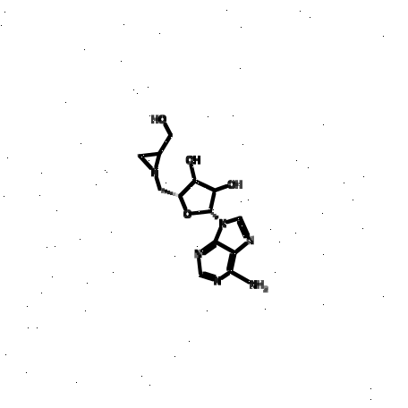 Nc1ncnc2c1ncn2[C@@H]1O[C@H](CN2CC2CO)C(O)C1O